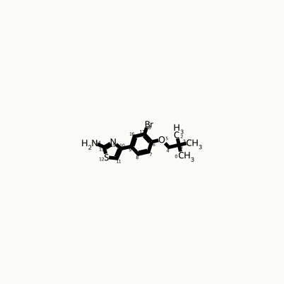 CC(C)(C)COc1ccc(-c2csc(N)n2)cc1Br